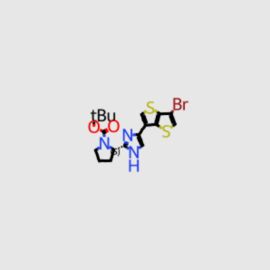 CC(C)(C)OC(=O)N1CCC[C@H]1c1nc(-c2csc3c(Br)csc23)c[nH]1